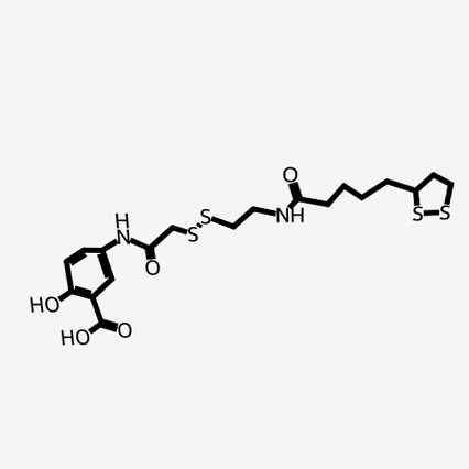 O=C(CCCCC1CCSS1)NCCSSCC(=O)Nc1ccc(O)c(C(=O)O)c1